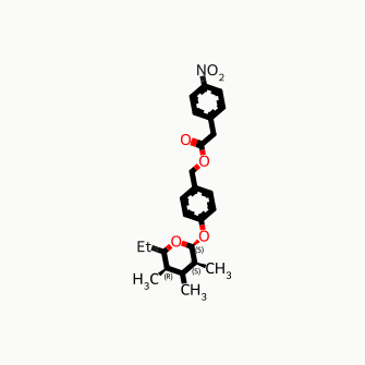 CCC1O[C@@H](Oc2ccc(COC(=O)Cc3ccc([N+](=O)[O-])cc3)cc2)[C@@H](C)C(C)[C@H]1C